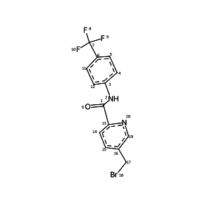 O=C(Nc1ccc(C(F)(F)F)cc1)c1ccc(CBr)cn1